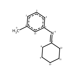 Cc1cccc(N=C2CCCCC2)c1